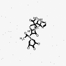 CC(=O)N(C1C(=O)N2CC(C(=O)O)(C(S)C3(C)N=CSN3)CS[C@H]12)n1cc(Cl)c(=O)c(Cl)c1